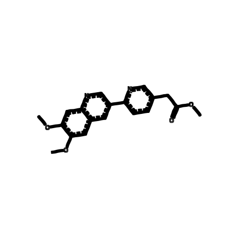 COC(=O)Cc1ccc(-c2cnc3cc(OC)c(OC)cc3c2)nc1